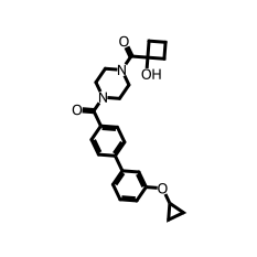 O=C(c1ccc(-c2cccc(OC3CC3)c2)cc1)N1CCN(C(=O)C2(O)CCC2)CC1